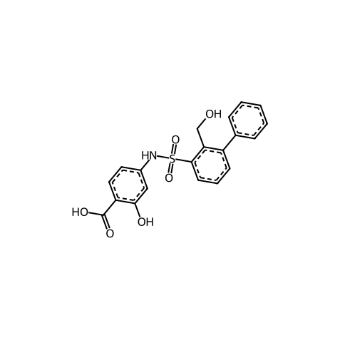 O=C(O)c1ccc(NS(=O)(=O)c2cccc(-c3ccccc3)c2CO)cc1O